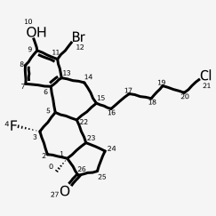 C[C@]12C[C@H](F)C3c4ccc(O)c(Br)c4CC(CCCCCCl)C3C1CCC2=O